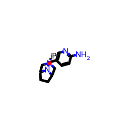 CC(C)N1CC2CCC(C1)N2Cc1ccc(N)nc1